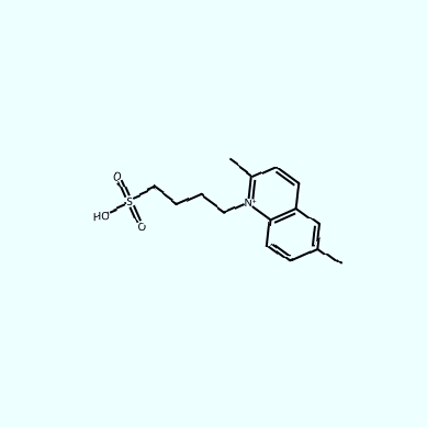 Cc1ccc2c(ccc(C)[n+]2CCCCS(=O)(=O)O)c1